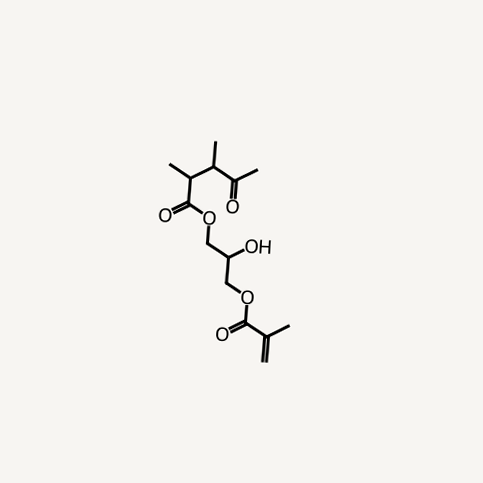 C=C(C)C(=O)OCC(O)COC(=O)C(C)C(C)C(C)=O